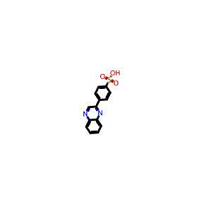 O=S(=O)(O)c1ccc(-c2cnc3ccccc3n2)cc1